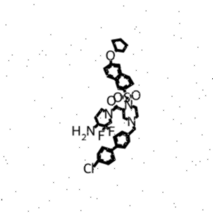 NC1CCN(C(=O)C2CN(Cc3ccc(-c4ccc(Cl)cc4)cc3)CCN2S(=O)(=O)c2ccc3cc(OC4CCCC4)ccc3c2)CC1(F)F